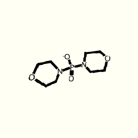 [O]P(=O)(N1CCOCC1)N1CCOCC1